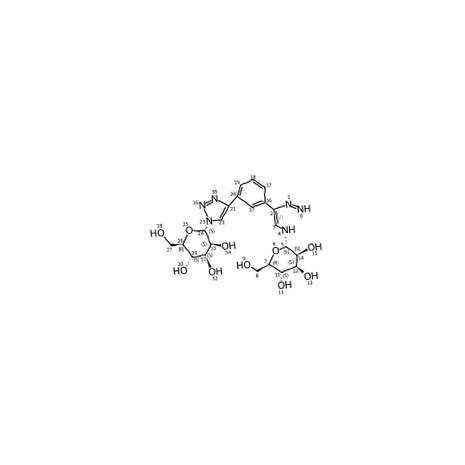 N=N/C(=C\N[C@H]1O[C@H](CO)[C@@H](O)[C@H](O)[C@@H]1O)c1cccc(-c2cn([C@H]3O[C@H](CO)[C@@H](O)[C@H](O)[C@@H]3O)nn2)c1